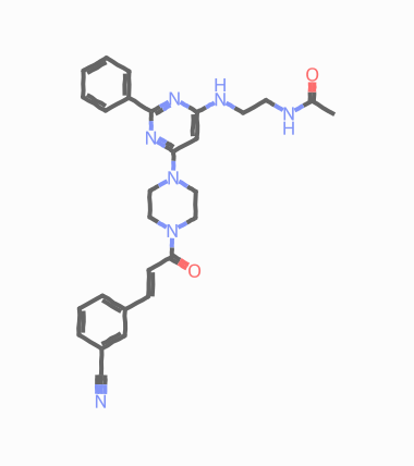 CC(=O)NCCNc1cc(N2CCN(C(=O)C=Cc3cccc(C#N)c3)CC2)nc(-c2ccccc2)n1